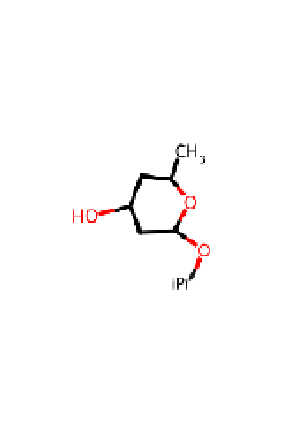 CC(C)OC1CC(O)CC(C)O1